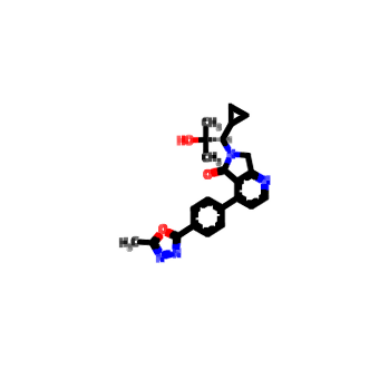 Cc1nnc(-c2ccc(-c3ccnc4c3C(=O)N([C@@H](C3CC3)C(C)(C)O)C4)cc2)o1